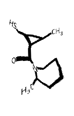 CC1C(S)C1C(=O)N1CCCC1C